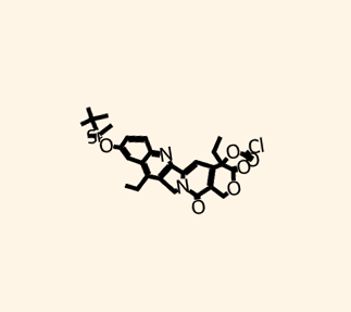 CCc1c2c(nc3ccc(O[Si](C)(C)C(C)(C)C)cc13)-c1cc3c(c(=O)n1C2)COC(=O)C3(CC)OC(=O)Cl